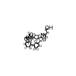 CS(=O)(=O)N[C@H]1CC[C@](Cc2cccc(-c3cccc(O)n3)c2)(c2nc(CCO)co2)C1